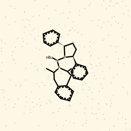 CCCCN(P1C(C)Cc2ccccc2CC1C)P1[C@H](c2ccccc2)CC[C@H]1c1ccccc1